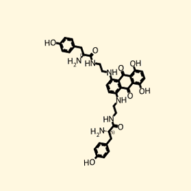 N[C@@H](Cc1ccc(O)cc1)C(=O)NCCNc1ccc(NCCNC(=O)[C@@H](N)Cc2ccc(O)cc2)c2c1C(=O)c1c(O)ccc(O)c1C2=O